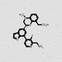 CN1C[C@H](c2cc(-c3ccnc(CN)c3F)c3occc3c2)Oc2c(CC(=O)O)cccc21